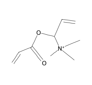 C=CC(=O)OC(C=C)[N+](C)(C)C